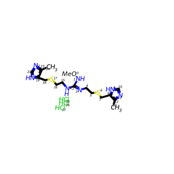 CON/C(=N\CCSCc1[nH]cnc1C)NCCSCc1[nH]cnc1C.Cl.Cl.Cl